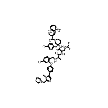 CC(NCc1ccc(Cl)cc1Oc1ccc(-c2cnc(CN3CCCC3)n2C)cc1)C(=O)NC(COC(F)F)C(=O)N[C@@]1(Cc2ccc(Cl)cc2)CCCN(C(=O)C(CC(=O)O)Cc2cccc[n+]2[O-])C1